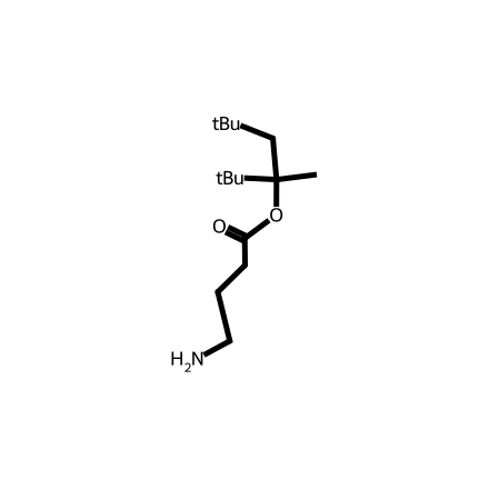 CC(C)(C)CC(C)(OC(=O)CCCN)C(C)(C)C